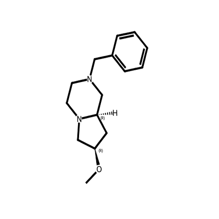 CO[C@@H]1C[C@@H]2CN(Cc3ccccc3)CCN2C1